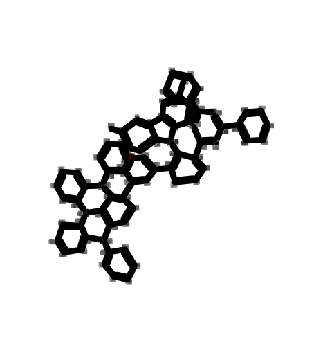 Cc1ccc2c(c1)c1cc(C)ccc1n2-c1c(-c2cccc(-c3ccc4c5c3N(c3ccccc3)c3ccccc3B5c3ccccc3N4c3ccccc3)c2)cccc1-c1nc(-c2ccccc2)nc(-c2ccccc2)n1